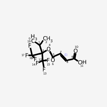 CC(C)C(OC(=O)/C=C/C(=O)O)(C(F)(F)F)C(F)(F)F